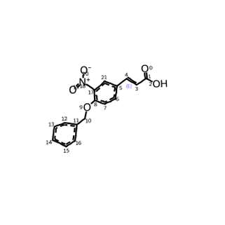 O=C(O)/C=C/c1ccc(OCc2ccccc2)c([N+](=O)[O-])c1